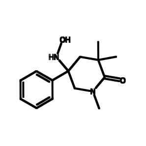 CN1CC(NO)(c2ccccc2)CC(C)(C)C1=O